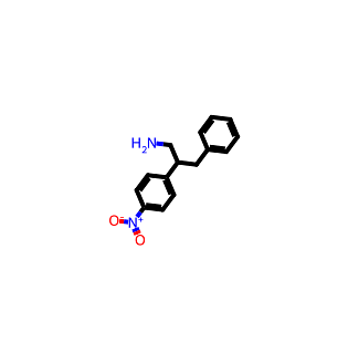 NCC(Cc1ccccc1)c1ccc([N+](=O)[O-])cc1